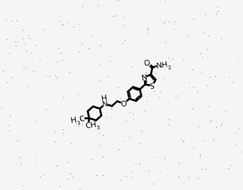 CC1(C)CCC(NCCOc2ccc(-c3nc(C(N)=O)cs3)cc2)CC1